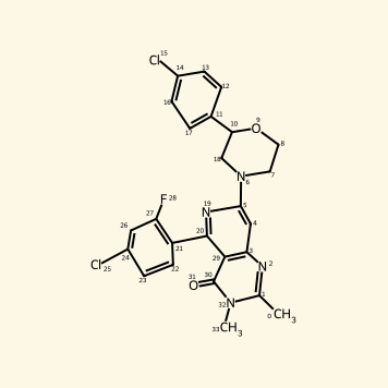 Cc1nc2cc(N3CCOC(c4ccc(Cl)cc4)C3)nc(-c3ccc(Cl)cc3F)c2c(=O)n1C